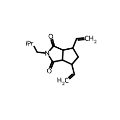 C=CC1CC(C=C)C2C(=O)N(CC(C)C)C(=O)C12